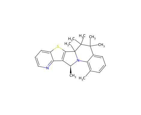 Cc1cccc2c1N1[C@@H](C)c3c(sc4cccnc34)C1(C)C(C)(C)C2(C)C